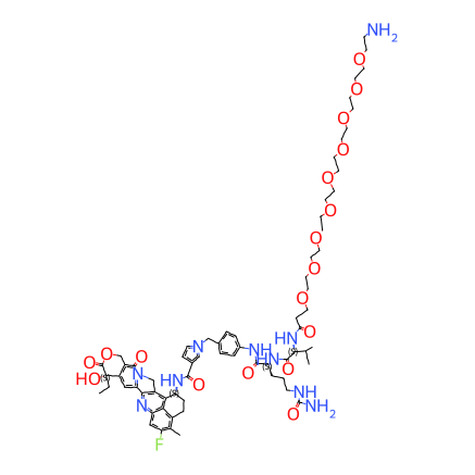 CC[C@@]1(O)C(=O)OCc2c1cc1n(c2=O)Cc2c-1nc1cc(F)c(C)c3c1c2[C@@H](NC(=O)c1ccn(Cc2ccc(NC(=O)[C@H](CCCNC(N)=O)NC(=O)[C@@H](NC(=O)CCOCCOCCOCCOCCOCCOCCOCCOCCOCCN)C(C)C)cc2)c1)CC3